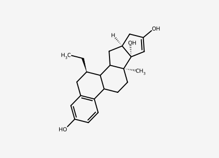 CC[C@@H]1Cc2cc(O)ccc2C2CC[C@@]3(C)C(C[C@H]4CC(O)=C[C@]43O)C21